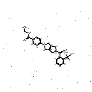 CCOC(=O)c1ccc(N2CC3=C(CN(C(=O)c4ccccc4C(F)(F)F)C3)C2)nc1